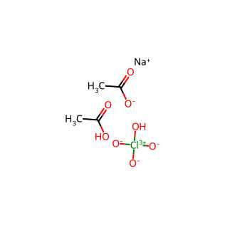 CC(=O)O.CC(=O)[O-].[Na+].[O-][Cl+3]([O-])([O-])O